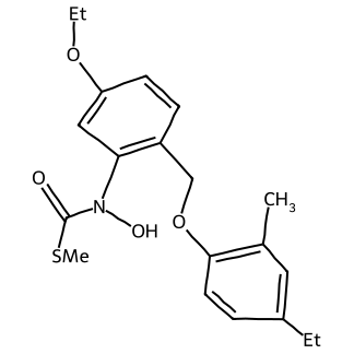 CCOc1ccc(COc2ccc(CC)cc2C)c(N(O)C(=O)SC)c1